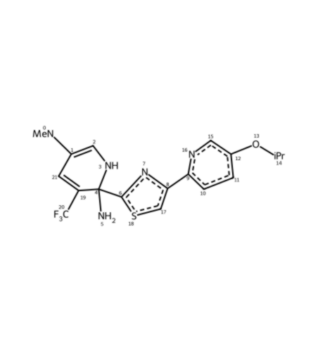 CNC1=CNC(N)(c2nc(-c3ccc(OC(C)C)cn3)cs2)C(C(F)(F)F)=C1